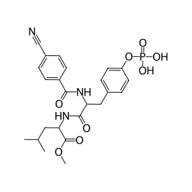 COC(=O)C(CC(C)C)NC(=O)C(Cc1ccc(OP(=O)(O)O)cc1)NC(=O)c1ccc(C#N)cc1